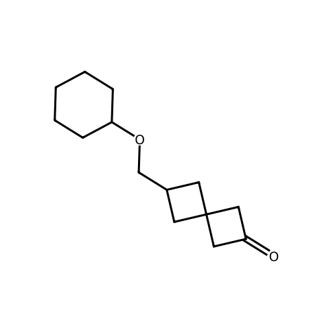 O=C1CC2(C1)CC(COC1CCCCC1)C2